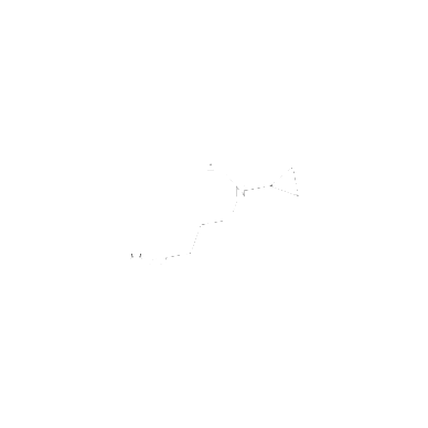 COCCON(C(C)=O)C1CC1